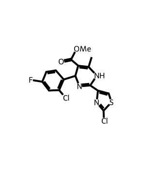 COC(=O)C1=C(C)NC(c2csc(Cl)n2)=NC1c1ccc(F)cc1Cl